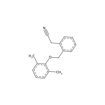 Cc1cccc(C)c1OCc1ccccc1CC#N